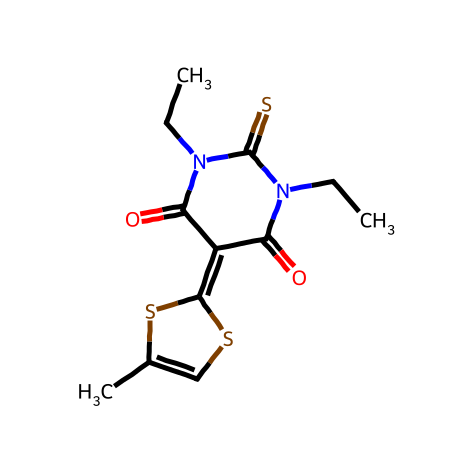 CCN1C(=O)C(=C2SC=C(C)S2)C(=O)N(CC)C1=S